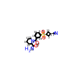 N#C[C@H]1C[C@@H](S(=O)(=O)c2cccc(C(=O)N3CCCCC3C(N)=O)c2)C1